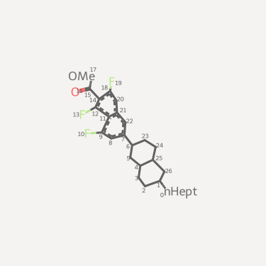 CCCCCCCC1CCC2CC(c3cc(F)c4c(F)c(C(=O)OC)c(F)cc4c3)CCC2C1